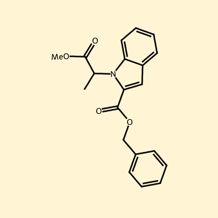 COC(=O)C(C)n1c(C(=O)OCc2ccccc2)cc2ccccc21